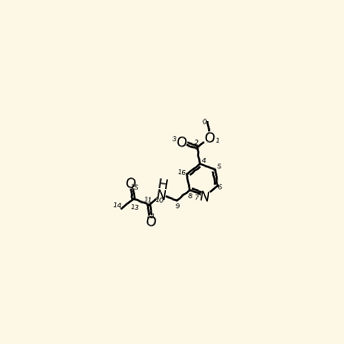 COC(=O)c1ccnc(CNC(=O)C(C)=O)c1